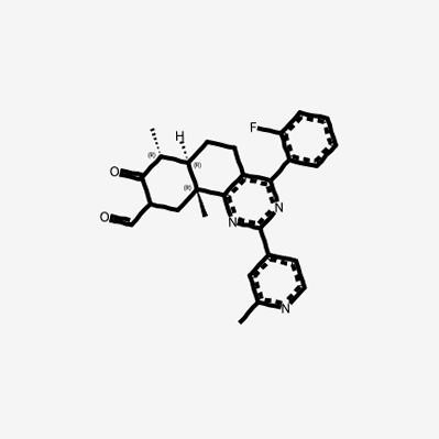 Cc1cc(-c2nc(-c3ccccc3F)c3c(n2)[C@]2(C)CC(C=O)C(=O)[C@H](C)[C@H]2CC3)ccn1